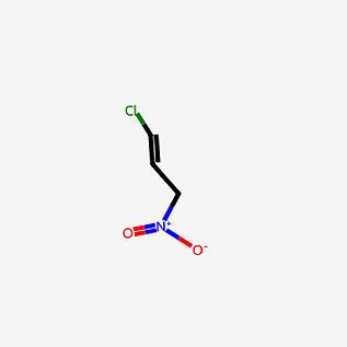 O=[N+]([O-])CC=CCl